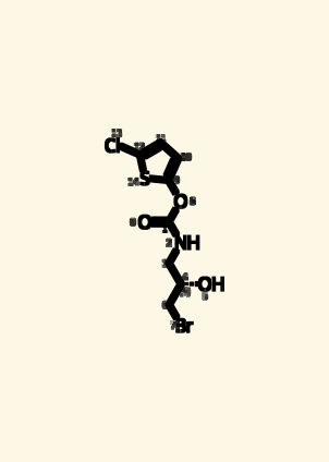 O=C(NC[C@H](O)CBr)Oc1ccc(Cl)s1